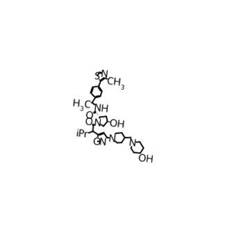 Cc1ncsc1-c1ccc([C@H](C)NC(=O)[C@@H]2C[C@@H](O)CN2C(=O)C(c2cc(N3CCC(CN4CCC(O)CC4)CC3)no2)C(C)C)cc1